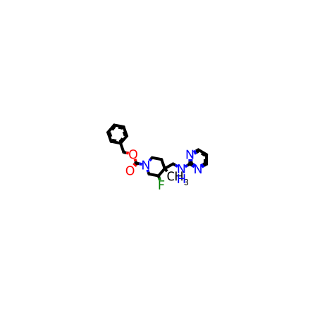 CC1(CNc2ncccn2)CCN(C(=O)OCc2ccccc2)CC1F